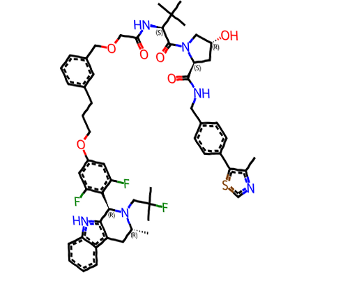 Cc1ncsc1-c1ccc(CNC(=O)[C@@H]2C[C@@H](O)CN2C(=O)[C@@H](NC(=O)COCc2cccc(CCCOc3cc(F)c([C@@H]4c5[nH]c6ccccc6c5C[C@@H](C)N4CC(C)(C)F)c(F)c3)c2)C(C)(C)C)cc1